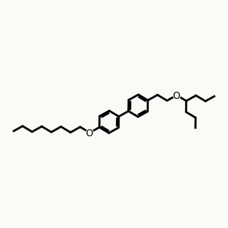 CCCCCCCCOc1ccc(-c2ccc(CCOC(CCC)CCC)cc2)cc1